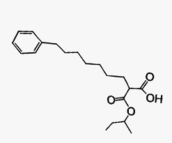 CCC(C)OC(=O)C(CCCCCCCc1ccccc1)C(=O)O